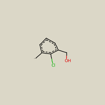 [CH2]c1cccc(CO)c1Cl